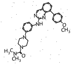 COc1ccc(-c2cccc3cnc(Nc4cccc(N5CCN(C(=O)N(C)C)CC5)c4)nc23)cc1